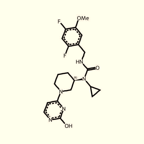 COc1cc(CNC(=O)N(C2CC2)[C@@H]2CCCN(c3ccnc(O)n3)C2)c(F)cc1F